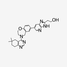 CC1(C)CCc2ncnc(N3CCOc4ccc(-c5cnc6[nH]c(CCO)nc6c5)cc4C3)c2C1